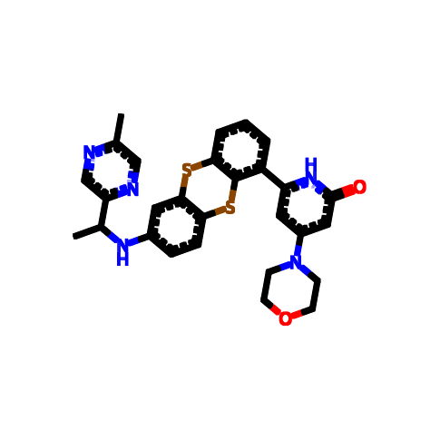 Cc1cnc(C(C)Nc2ccc3c(c2)Sc2cccc(-c4cc(N5CCOCC5)cc(=O)[nH]4)c2S3)cn1